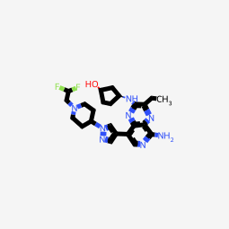 CCc1nc2c(N)ncc(-c3cnn(C4CCN(CC(F)F)CC4)c3)c2nc1N[C@@H]1CC[C@H](O)C1